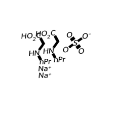 CCCNCC(=O)O.CCCNCC(=O)O.O=S(=O)([O-])[O-].[Na+].[Na+]